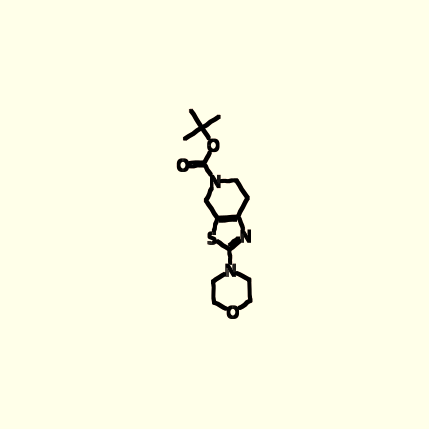 CC(C)(C)OC(=O)N1CCc2nc(N3CCOCC3)sc2C1